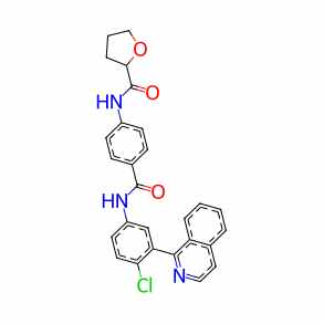 O=C(Nc1ccc(Cl)c(-c2nccc3ccccc23)c1)c1ccc(NC(=O)C2CCCO2)cc1